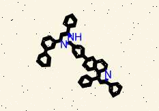 C1=C(c2ccccc2)NC(c2ccc(-c3ccc4c(ccc5nc(-c6ccccc6)cc(-c6ccccc6)c54)c3)cc2)N=C1c1cccc(-c2ccccc2)c1